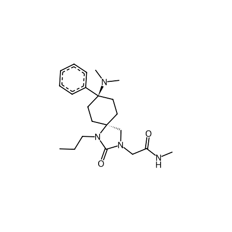 CCCN1C(=O)N(CC(=O)NC)C[C@]12CC[C@](c1ccccc1)(N(C)C)CC2